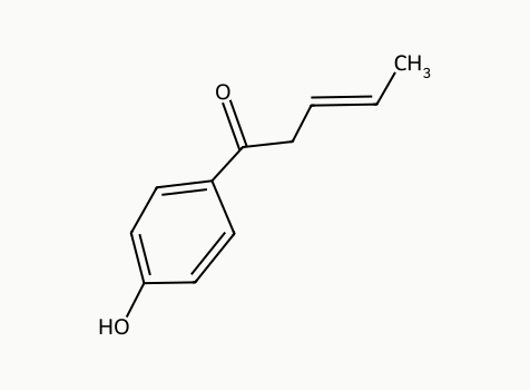 CC=CCC(=O)c1ccc(O)cc1